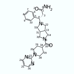 NC(=O)C[C@@H](c1ccccc1)N1CC2CN(C(=O)C3CCN(c4ncccn4)CC3)CC2C1